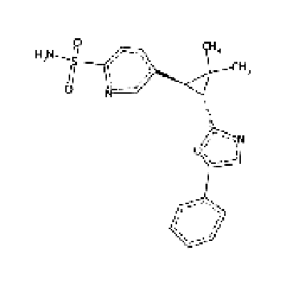 CC1(C)[C@H](c2ccc(S(N)(=O)=O)nc2)[C@H]1c1ncc(-c2ccccc2)o1